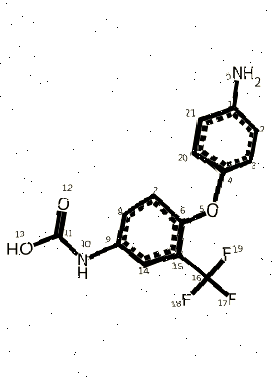 Nc1ccc(Oc2ccc(NC(=O)O)cc2C(F)(F)F)cc1